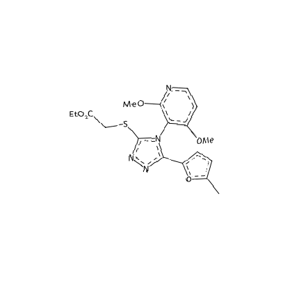 CCOC(=O)CSc1nnc(-c2ccc(C)o2)n1-c1c(OC)ccnc1OC